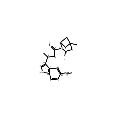 CCC1CC2(C)CC(C2)N1C(=O)CC(C)c1c[nH]c2ccc(OC)cc12